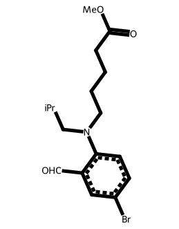 COC(=O)CCCCN(CC(C)C)c1ccc(Br)cc1C=O